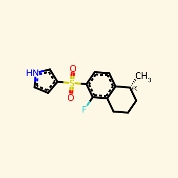 C[C@@H]1CCCc2c1ccc(S(=O)(=O)c1cc[nH]c1)c2F